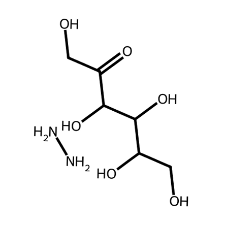 NN.O=C(CO)C(O)C(O)C(O)CO